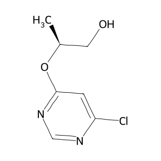 C[C@@H](CO)Oc1cc(Cl)ncn1